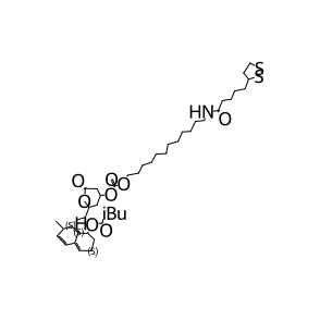 CCC(C)C(=O)OC1C[C@H](C)C=C2C=CC(C)[C@H](CCC3CC(OC(=O)OCCCCCCCCCCCCNC(=O)CCCCC4CCSS4)CC(=O)O3)[C@@H]21